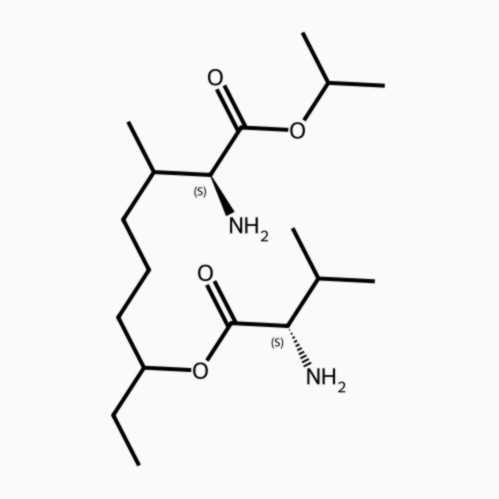 CCC(CCCC(C)[C@H](N)C(=O)OC(C)C)OC(=O)[C@@H](N)C(C)C